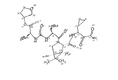 CC(C)(C)[C@H](NC(=O)N[C@H](C(=O)N1C[C@H]2[C@@H]([C@H]1C(=O)NC(C(=O)C(N)=O)C1CC1)C2(C)C)C(C)(C)C)C(=O)OC1CCOC1